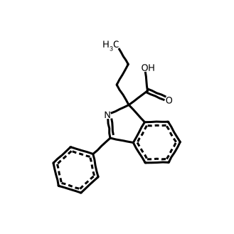 CCCC1(C(=O)O)N=C(c2ccccc2)c2ccccc21